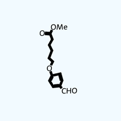 COC(=O)CCCCCOc1ccc(C=O)cc1